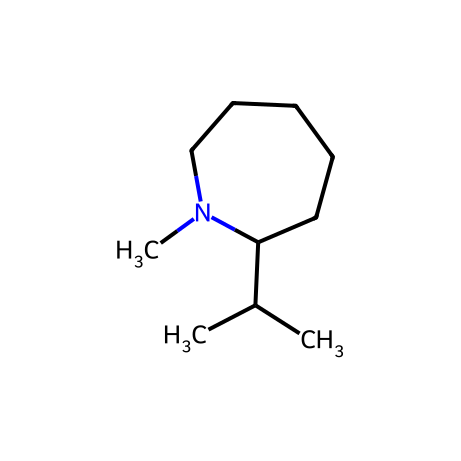 CC(C)C1CCCCCN1C